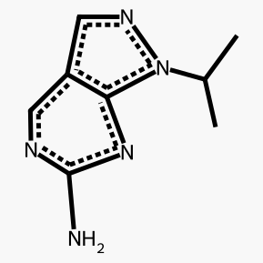 CC(C)n1ncc2cnc(N)nc21